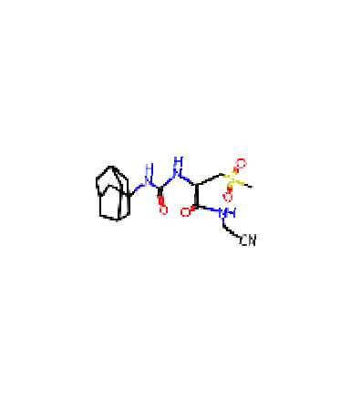 CS(=O)(=O)CC(NC(=O)NC12CC3CC(CC(C3)C1)C2)C(=O)NCC#N